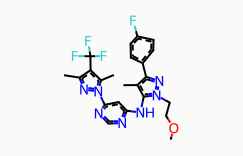 COCCn1nc(-c2ccc(F)cc2)c(C)c1Nc1cc(-n2nc(C)c(C(F)(F)F)c2C)ncn1